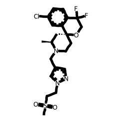 C[C@H]1C[C@@]2(CCN1Cc1cnn(CCS(C)(=O)=O)c1)OCC(F)(F)c1ccc(Cl)cc12